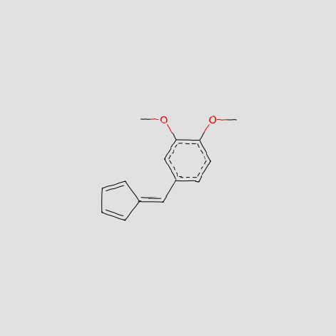 COc1ccc(C=C2C=CC=C2)cc1OC